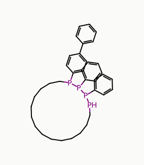 c1ccc(-c2ccc(P3CCCCCCCCCCCCCCPP(c4ccccc4)P3c3ccccc3)cc2)cc1